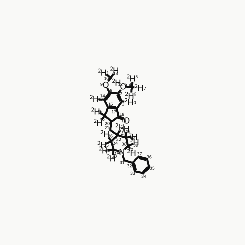 [2H]c1c(OC([2H])([2H])[2H])c(OC([2H])([2H])[2H])c([2H])c2c1C(=O)C(CC1([2H])C([2H])([2H])C([2H])([2H])N(Cc3ccccc3)C([2H])([2H])C1([2H])[2H])C2([2H])[2H]